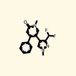 Cn1cc(-c2cn(C)c(=O)cc2-c2ccccc2)c(C(F)F)n1